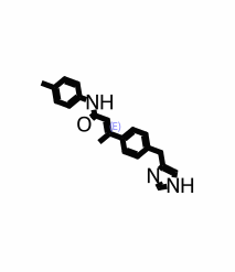 C/C(=C\C(=O)Nc1ccc(C)cc1)c1ccc(Cc2c[nH]cn2)cc1